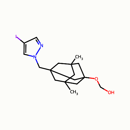 CC12CC3(C)CC(Cn4cc(I)cn4)(C1)CC(OCO)(C2)C3